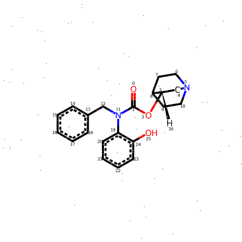 O=C(O[C@H]1CN2CCC1CC2)N(Cc1ccccc1)c1ccccc1O